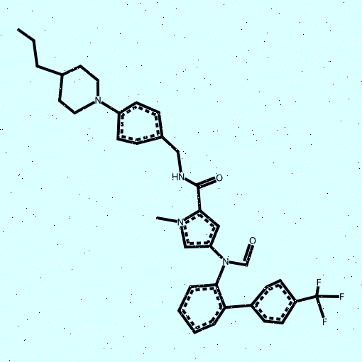 CCCC1CCN(c2ccc(CNC(=O)c3cc(N(C=O)c4ccccc4-c4ccc(C(F)(F)F)cc4)cn3C)cc2)CC1